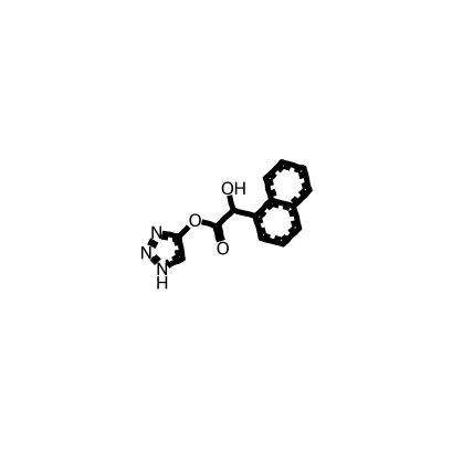 O=C(Oc1c[nH]nn1)C(O)c1cccc2ccccc12